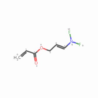 C=CC(=O)OCC=CN(F)F